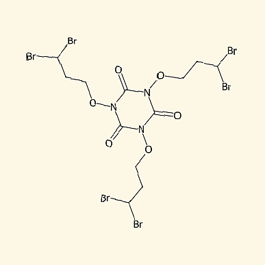 O=c1n(OCCC(Br)Br)c(=O)n(OCCC(Br)Br)c(=O)n1OCCC(Br)Br